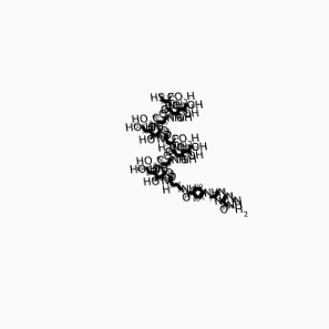 Nc1nc2ncc(CNc3ccc(C(=O)NCCCC(=O)N[C@H](C(=O)N[C@@H](CC(=O)NC(C(=O)N[C@@H](CC(=O)N[C@H](C(=O)N[C@@H](CC(=O)NC(C(=O)N[C@@H](CS)C(=O)O)[C@@H](O)[C@H](O)[C@H](O)CO)C(=O)O)[C@@H](O)[C@H](O)CCO)C(=O)O)[C@@H](O)[C@H](O)[C@H](O)CO)C(=O)O)[C@@H](O)[C@H](O)CCO)cc3)nc2c(=O)[nH]1